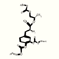 CCCCCOC(=O)Oc1ccc(C[C@H](N)C(=O)O[C@@H](C)COC(=O)OCCCC)cc1OC(=O)OCCCCC